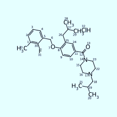 Cc1cccc(COc2ccc(C(=O)N3CCN(CC(C)C)CC3)cc2CC(C)C)c1F.Cl